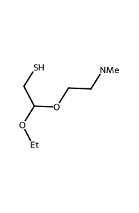 CCOC(CS)OCCNC